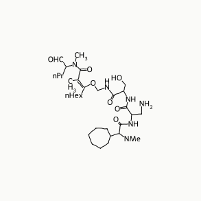 CCCCCC/C(OCNC(=O)C(CO)NC(=O)C(CN)NC(=O)C(NC)C1CCCCCC1)=C(\C)C(=O)N(C)C(C=O)CCC